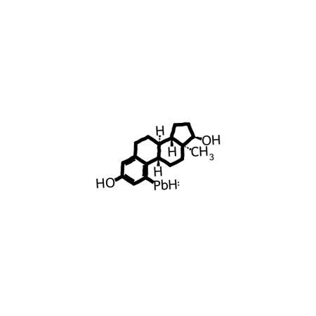 C[C@]12CC[C@@H]3c4[c]([PbH])cc(O)cc4CC[C@H]3[C@@H]1CC[C@H]2O